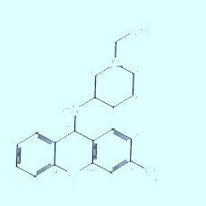 CCN1CCCC(NC2c3ccccc3Oc3cc(Cl)ccc32)C1